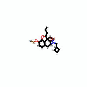 CCCC1Oc2c(OSC)ccc3c2C12CCN(CC1CCC1)C(C3)C2(C)O